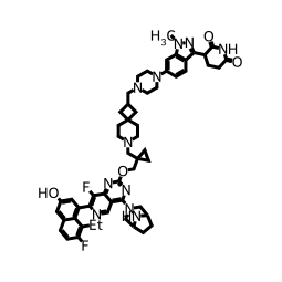 CCc1c(F)ccc2cc(O)cc(-c3ncc4c(N5CC6CCC(C5)N6)nc(OCC5(CN6CCC7(CC6)CC(CN6CCN(c8ccc9c(C%10CCC(=O)NC%10=O)nn(C)c9c8)CC6)C7)CC5)nc4c3F)c12